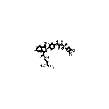 CN(C)CCNC(=O)c1cn(-c2ccc(NC(=O)NS(=O)(=O)c3cc(Cl)c(Cl)s3)cc2)c(=O)c2ccccc12